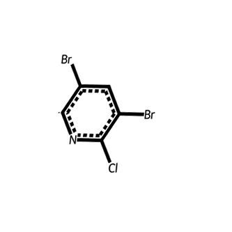 Clc1n[c]c(Br)cc1Br